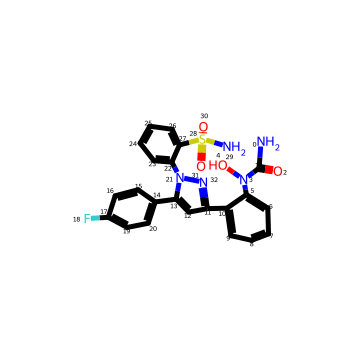 NC(=O)N(O)c1ccccc1-c1cc(-c2ccc(F)cc2)n(-c2ccccc2S(N)(=O)=O)n1